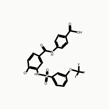 O=C(O)c1ccc(NC(=O)c2ccc(Cl)c(NS(=O)(=O)c3cccc(OC(F)(F)F)c3)c2)cc1